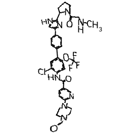 CNCC(=O)N1CCCC1c1nc(-c2ccc(-c3cc(Cl)c(NC(=O)c4ccc(N5CCN(C=O)CC5)nc4)cc3OC(F)(F)F)cc2)c[nH]1